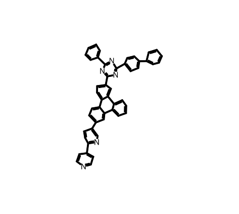 c1ccc(-c2ccc(-c3nc(-c4ccccc4)nc(-c4ccc5c6ccc(-c7ccc(-c8ccncc8)nc7)cc6c6ccccc6c5c4)n3)cc2)cc1